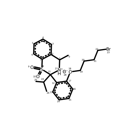 CC1c2ccccc2S(=O)(=O)C(c2ccccc2OCCCCBr)(C(C)C)[NH+]1[O-]